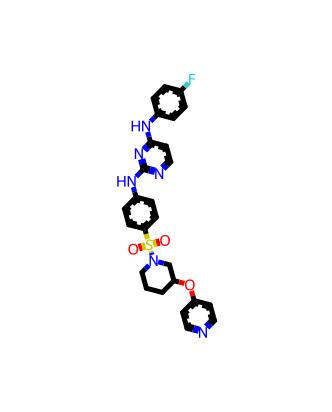 O=S(=O)(c1ccc(Nc2nccc(Nc3ccc(F)cc3)n2)cc1)N1CCCC(Oc2ccncc2)C1